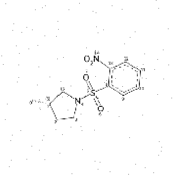 C[C@H]1CCN(S(=O)(=O)c2ccccc2[N+](=O)[O-])C1